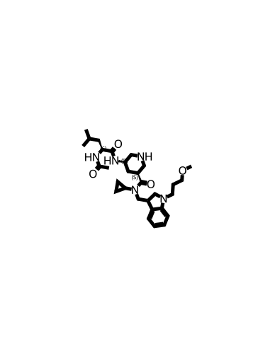 COCCCN1CC(CN(C(=O)[C@@H]2CNC[C@H](NC(=O)[C@H](CC(C)C)NC(C)=O)C2)C2CC2)c2ccccc21